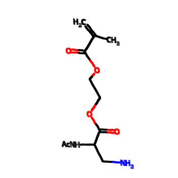 C=C(C)C(=O)OCCOC(=O)C(CN)NC(C)=O